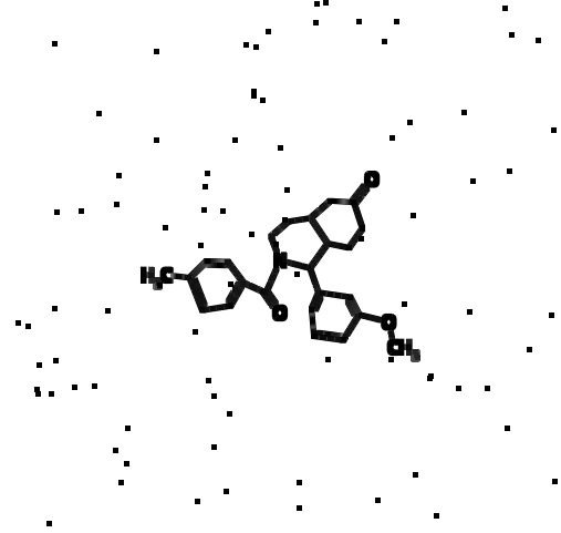 COc1cccc(C2C3CCC(=O)CC3CCN2C(=O)c2ccc(C)cc2)c1